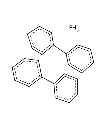 P.c1ccc(-c2ccccc2)cc1.c1ccc(-c2ccccc2)cc1